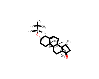 C[C@@H]1CC(=O)[C@@]2(C)CC[C@H]3[C@@H](CC=C4C[C@@H](O[Si](C)(C)C(C)(C)C)CC[C@@]43C)[C@H]12